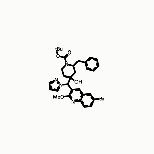 COc1nc2ccc(Br)cc2cc1C(n1cccn1)C1(O)CCN(C(=O)OC(C)(C)C)C(Cc2ccccc2)C1